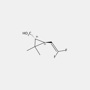 CC1(C)[C@H](C=C(F)F)[C@H]1C(=O)O